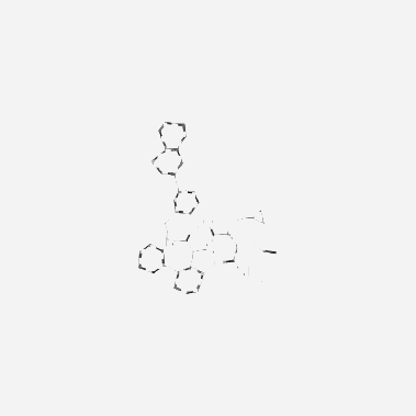 C=CC[C@H](C(N)=O)[C@@H](CC1CC1)C(=O)NC1C(=O)N(Cc2cccc(-c3ccc4ccccc4c3)c2)c2ccccc2-c2ccccc21